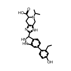 CCc1cc(O)ccc1-c1ccc2c(c1)NNC2c1nc2c([nH]1)CN(C(C)C)C(C(=O)O)C2